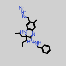 CCCC1(CCC)Nc2cc(CN=[N+]=[N-])c(C)cc2N=C1NNCc1ccccc1